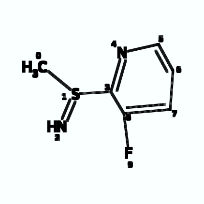 CS(=N)c1ncccc1F